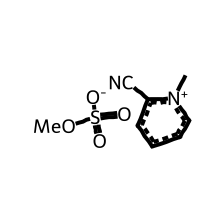 COS(=O)(=O)[O-].C[n+]1ccccc1C#N